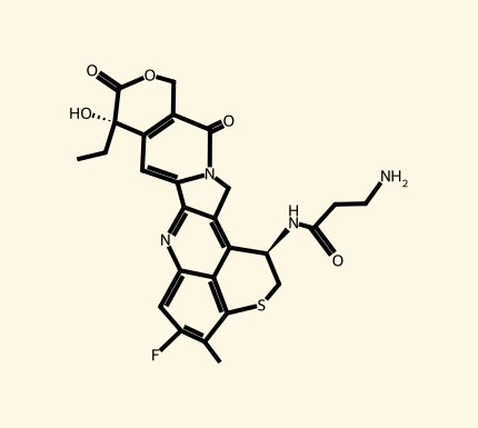 CC[C@@]1(O)C(=O)OCc2c1cc1n(c2=O)Cc2c-1nc1cc(F)c(C)c3c1c2[C@@H](NC(=O)CCN)CS3